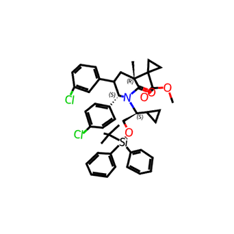 COC(=O)C1([C@@]2(C)CC(c3cccc(Cl)c3)[C@@H](c3ccc(Cl)cc3)N([C@H](CO[Si](c3ccccc3)(c3ccccc3)C(C)(C)C)C3CC3)C2=O)CC1